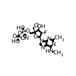 CNc1nc(C)nc2c1ncn2[C@@H]1O[C@](CCl)(COP(=O)(O)OP(=O)(O)O)[C@@H](O)[C@@H]1F